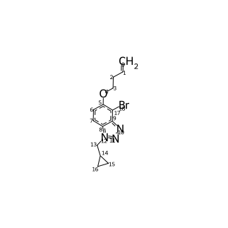 C=CCCOc1ccc2c(nnn2CC2CC2)c1Br